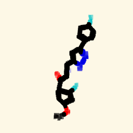 COc1ccc(C(=O)/C=C/c2cc(-c3ccc(F)cc3)n[nH]2)c(F)c1